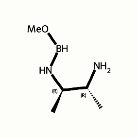 COBN[C@H](C)[C@@H](C)N